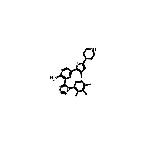 Cc1cc(C2CCNCC2)sc1-c1cnc(N)c(-c2nnnn2-c2ccc(C)c(C)c2F)c1